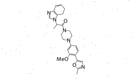 COc1cc(N2CCN(C(=O)C(C)n3cnc4c3CCC=C4)CC2)ccc1-c1cnc(C)o1